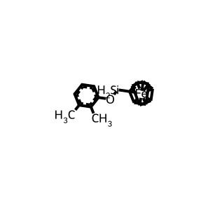 Cc1cccc(O[SiH2][C]23[CH]4[CH]5[CH]6[CH]2[Fe]56432789[CH]3[CH]2[CH]7[CH]8[CH]39)c1C